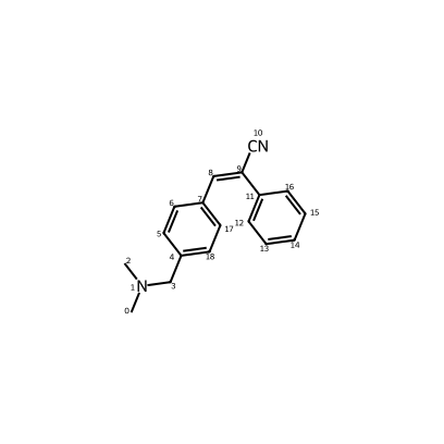 CN(C)Cc1ccc(C=C(C#N)c2ccccc2)cc1